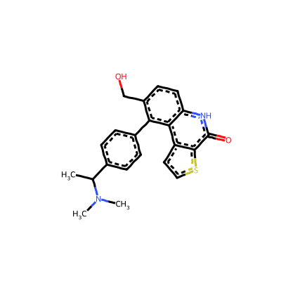 CC(c1ccc(-c2c(CO)ccc3[nH]c(=O)c4sccc4c23)cc1)N(C)C